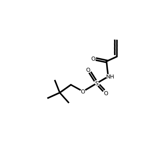 C=CC(=O)NS(=O)(=O)OCC(C)(C)C